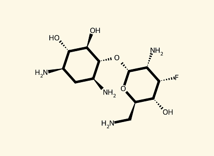 NC[C@H]1O[C@H](O[C@H]2[C@H](O)[C@@H](O)[C@H](N)C[C@@H]2N)[C@H](N)[C@H](F)[C@@H]1O